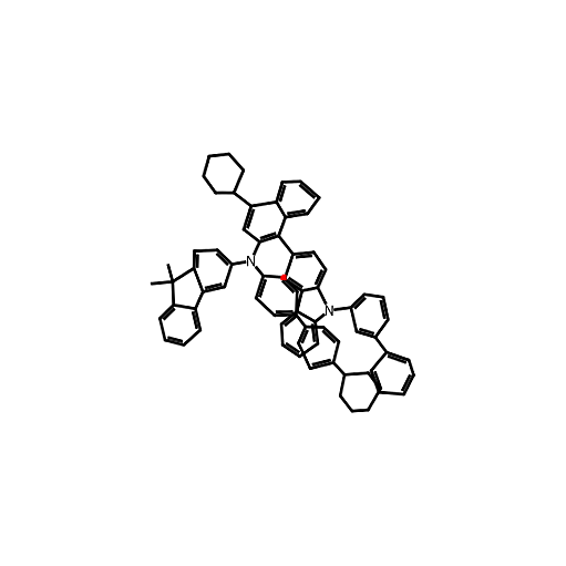 CC1(C)c2ccccc2-c2cc(N(c3ccc(-c4ccc(C5CCCCC5)cc4)cc3)c3cc(C4CCCCC4)c4ccccc4c3-c3ccc4c(c3)c3ccccc3n4-c3cccc(-c4ccccc4)c3)ccc21